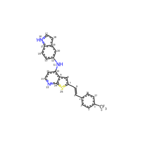 FC(F)(F)c1ccc(C=Cc2cc3c(Nc4ccc5[nH]ccc5c4)ccnc3s2)cc1